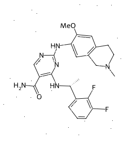 COc1cc2c(cc1Nc1ncc(C(N)=O)c(N[C@H](C)c3cccc(F)c3F)n1)CN(C)CC2